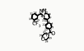 O=C(c1ccc(-c2ccc3nnc(-c4cccc(C(F)(F)F)c4)n3c2)cc1)N1CCOCC1